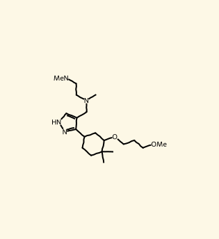 CNCCN(C)Cc1c[nH]nc1C1CCC(C)(C)C(OCCCOC)C1